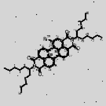 CCCCCC(CCCCC)N1C(=O)c2ccc3c4ccc5c6c(cc(Br)c(c7ccc(c2c37)C1=O)c64)C(=O)N(C(CCCCC)CCCCC)C5=O